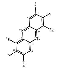 Cc1c(F)cc2nc3c(F)c(C)c(F)cc3nc2c1F